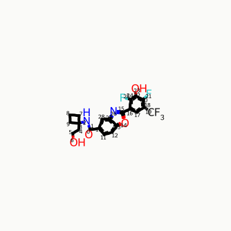 O=C(NC1(CCO)CCC1)c1ccc2oc(-c3cc(C(F)(F)F)c(F)c(O)c3F)nc2c1